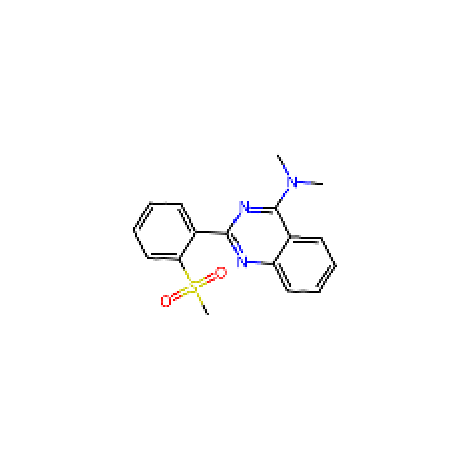 CN(C)c1nc(-c2ccccc2S(C)(=O)=O)nc2ccccc12